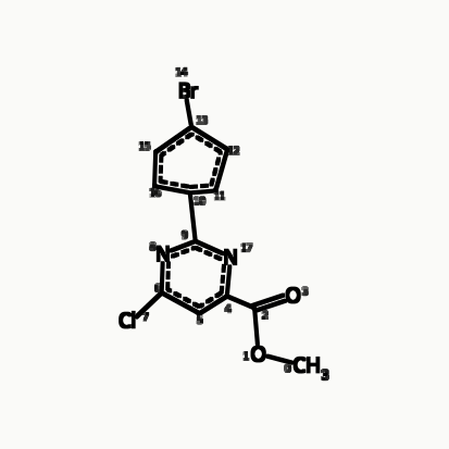 COC(=O)c1cc(Cl)nc(-c2ccc(Br)cc2)n1